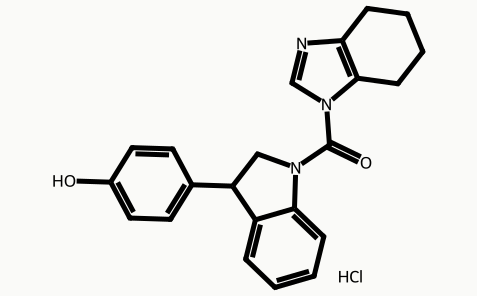 Cl.O=C(N1CC(c2ccc(O)cc2)c2ccccc21)n1cnc2c1CCCC2